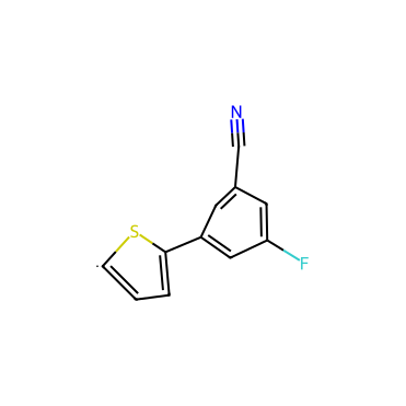 N#Cc1cc(F)cc(-c2cc[c]s2)c1